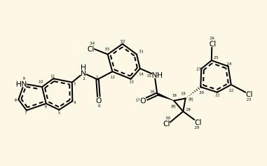 O=C(Nc1ccc2cc[nH]c2c1)c1cc(NC(=O)[C@H]2[C@H](c3cc(Cl)cc(Cl)c3)C2(Cl)Cl)ccc1Cl